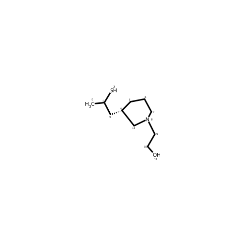 CC(S)C[C@@H]1CCCN(CCO)C1